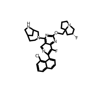 Fc1c(-c2cccc3cccc(Cl)c23)ncc2c(N3CCC4CNC(C4)C3)nc(OCC34CCCN3C[C@H](F)C4)nc12